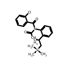 CC(=O)N(C(=O)c1ccccc1Cl)c1ccccc1C(C)C[Si](C)(C)C